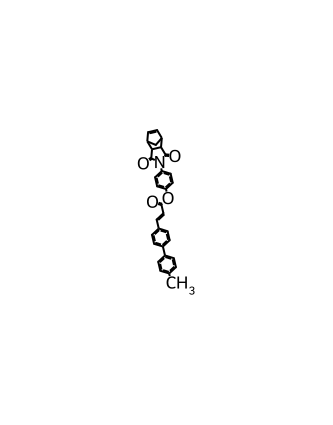 Cc1ccc(-c2ccc(/C=C/C(=O)Oc3ccc(N4C(=O)C5C6C=CC(C6)C5C4=O)cc3)cc2)cc1